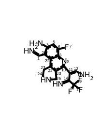 N=Cc1c(N)cc(F)c2nc(/C(=C/N)C(=N)C(F)(F)F)c3c(c12)CCNC3